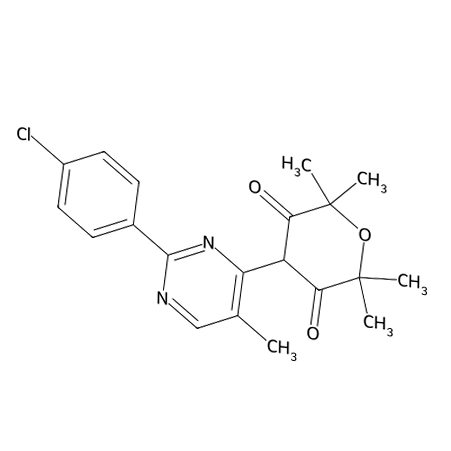 Cc1cnc(-c2ccc(Cl)cc2)nc1C1C(=O)C(C)(C)OC(C)(C)C1=O